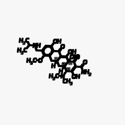 COc1c(CNC(C)C)cc(O)c2c1C[C@H]1C[C@H]3[C@H](N(C)C)C(O)=C(C(N)=O)C(=O)[C@@]3(O)C(O)=C1C2=O